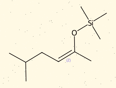 C/C(=C/CC(C)C)O[Si](C)(C)C